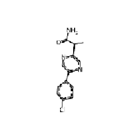 CC(C(N)=O)c1cnc(-c2ccc(Cl)cc2)cn1